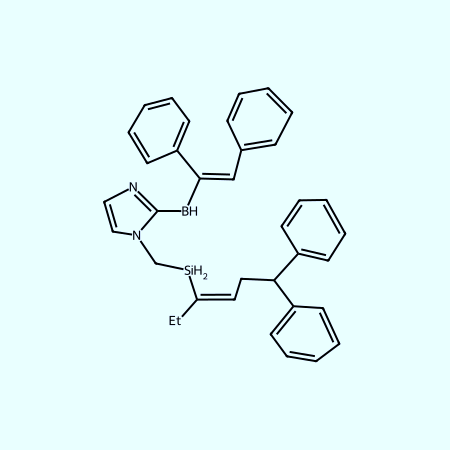 CCC(=CCC(c1ccccc1)c1ccccc1)[SiH2]Cn1ccnc1BC(=Cc1ccccc1)c1ccccc1